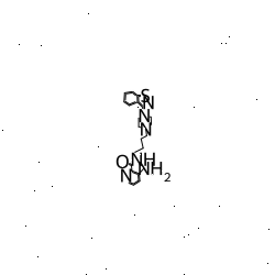 Nc1cccnc1C(=O)NCCCCN1CCN(c2nsc3ccccc23)CC1